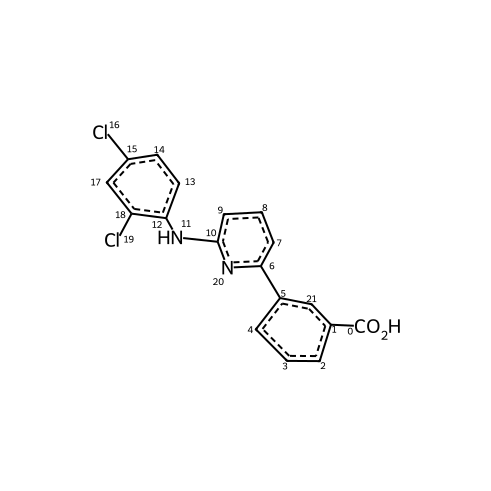 O=C(O)c1cccc(-c2cccc(Nc3ccc(Cl)cc3Cl)n2)c1